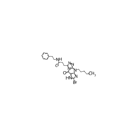 CCCCCn1c2nc(Br)[nH]c2c(=O)n2c(CCC(=O)NCCc3ccccc3)nnc12